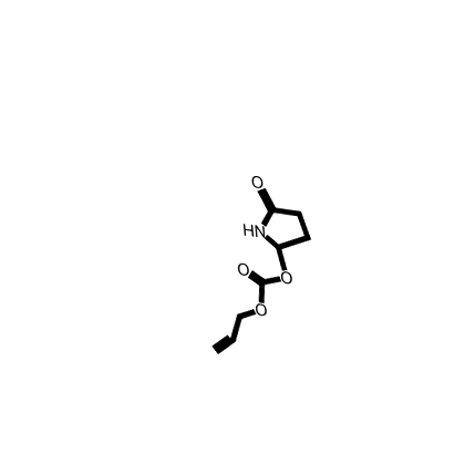 C=CCOC(=O)OC1CCC(=O)N1